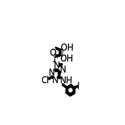 O[C@@H]1[C@H](O)CO[C@H]1Cn1cnc2c(NCc3cccc(I)c3)nc(Cl)nc21